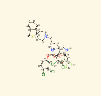 CN(C[C@](CCCN1CCC2(CC1)SCc1ccccc12)(c1ccc(Cl)c(Cl)c1)N(C)C(=O)Oc1ccc(Cl)c(Cl)c1)C(=O)CC(F)(F)F